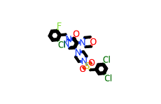 O=c1c(N2CCOCC2)c(N2CCN(S(=O)(=O)Cc3cc(Cl)cc(Cl)c3)CC2)cnn1Cc1c(F)cccc1Cl